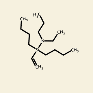 C=C[Si](CCCC)(CCCC)N(CC)CCC